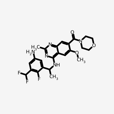 COc1cc2c(NC(C)c3cc(N)cc(C(F)F)c3F)nc(C)nc2cc1C(=O)N1CCOCC1